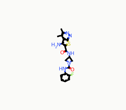 Cc1nnc2sc(C(=O)NC3CN(C(=O)Nc4ccccc4F)C3)c(N)c2c1C